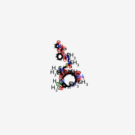 COc1cc2cc(c1Cl)N(C)C(=O)C[C@H](OC(=O)[C@H](C)N(C)C(=O)CCSC(=O)N(C)CCN(C)C(=O)OC1CCCCCCC1OCC(=O)ON1C(=O)CCC1=O)[C@]1(C)O[C@H]1[C@H](C)[C@@H]1C[C@@](O)(NC(=O)O1)[C@H](OC)/C=C/C=C(\C)C2